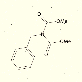 COC(=O)N(Cc1ccccc1)C(=O)OC